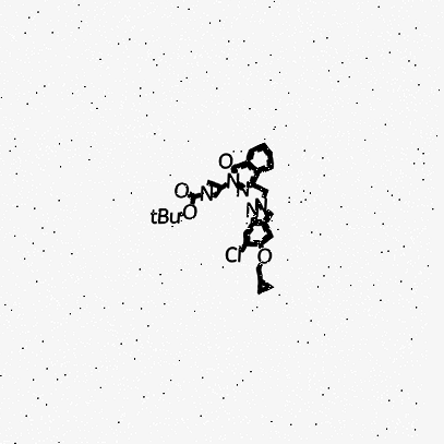 CC(C)(C)OC(=O)N1CC(n2nc(Cn3cc4cc(OCC5CC5)c(Cl)cc4n3)c3ccccc3c2=O)C1